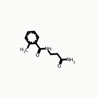 Cc1ccccc1C(=O)NCCC(N)=O